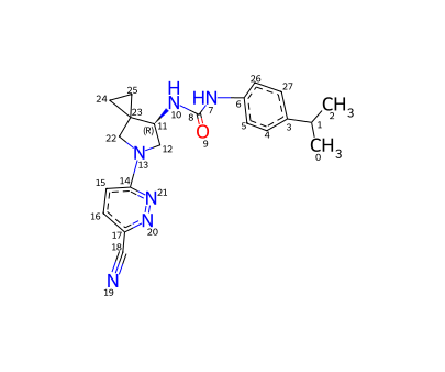 CC(C)c1ccc(NC(=O)N[C@H]2CN(c3ccc(C#N)nn3)CC23CC3)cc1